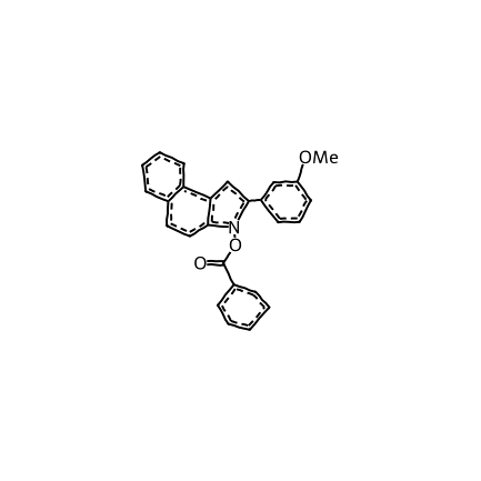 COc1cccc(-c2cc3c4ccccc4ccc3n2OC(=O)c2ccccc2)c1